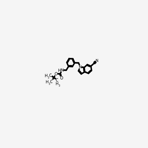 CC(C)(C)OC(=O)NCc1cccc(Cn2ccc3ccc(C#N)cc32)c1